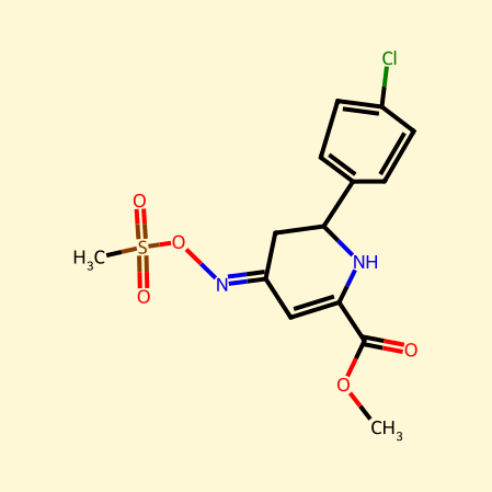 COC(=O)C1=CC(=NOS(C)(=O)=O)CC(c2ccc(Cl)cc2)N1